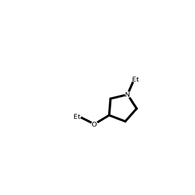 CCOC1CCN(CC)C1